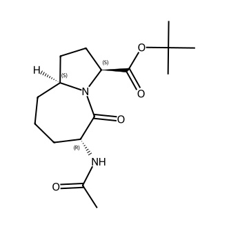 CC(=O)N[C@@H]1CCC[C@H]2CC[C@@H](C(=O)OC(C)(C)C)N2C1=O